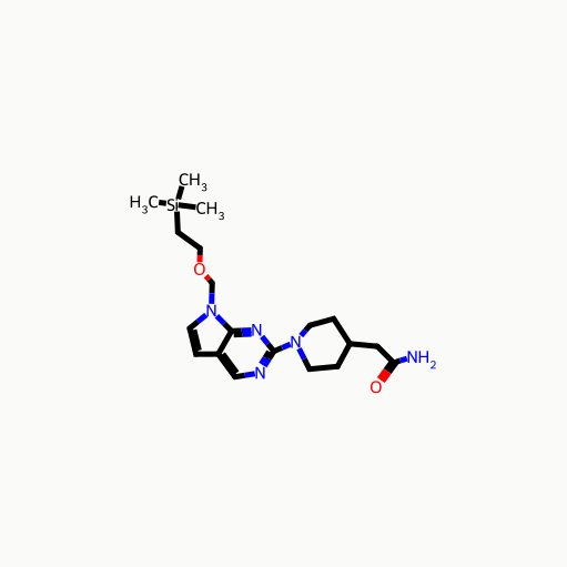 C[Si](C)(C)CCOCn1ccc2cnc(N3CCC(CC(N)=O)CC3)nc21